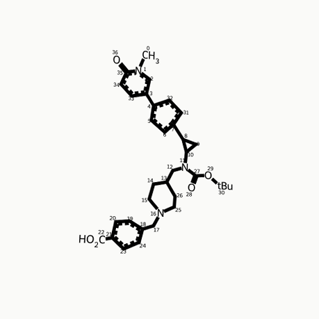 Cn1cc(-c2ccc(C3CC3N(CC3CCN(Cc4ccc(C(=O)O)cc4)CC3)C(=O)OC(C)(C)C)cc2)ccc1=O